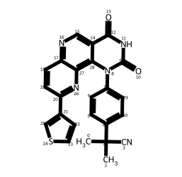 CC(C)(C#N)c1ccc(-n2c(=O)[nH]c(=O)c3cnc4ccc(-c5ccsc5)nc4c32)cc1